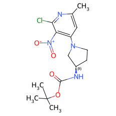 Cc1cc(N2CC[C@@H](NC(=O)OC(C)(C)C)C2)c([N+](=O)[O-])c(Cl)n1